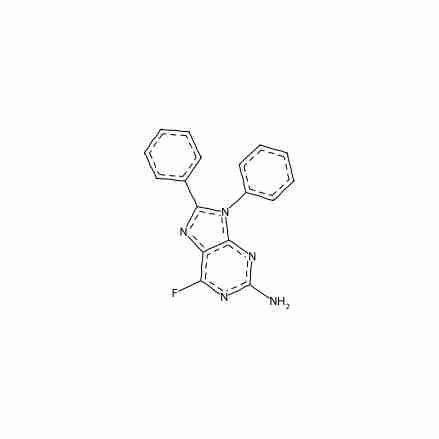 Nc1nc(F)c2nc(-c3ccccc3)n(-c3ccccc3)c2n1